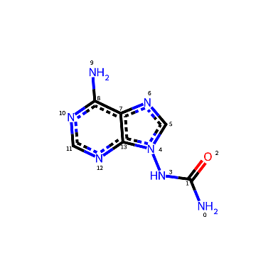 NC(=O)Nn1cnc2c(N)ncnc21